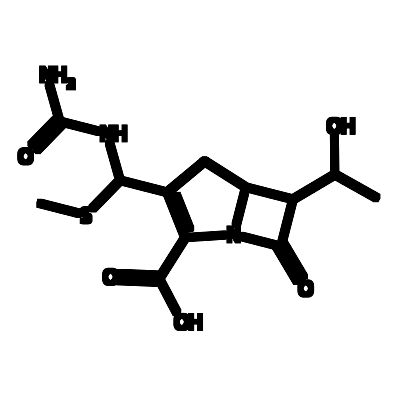 CSC(NC(N)=O)C1=C(C(=O)O)N2C(=O)C(C(C)O)C2C1